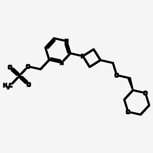 CS(=O)(=O)OCc1ccnc(N2CC(COC[C@@H]3COCCO3)C2)n1